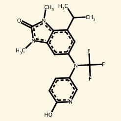 CC(C)c1cc(N(c2ccc(O)nc2)C(F)(F)F)cc2c1n(C)c(=O)n2C